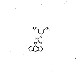 CCCC(CCC)SNC(=O)Nc1c2c(cc3c1CCC3)CCC2